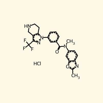 Cc1nc2ccc(N(C)C(=O)c3cccc(-n4nc(C(F)(F)F)c5c4CCNC5)c3)cc2o1.Cl